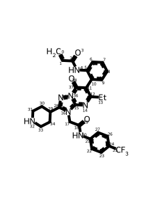 C=CC(=O)Nc1ccccc1-c1c(CC)nc2n(CC(=O)Nc3ccc(C(F)(F)F)cc3)c(C3CCNCC3)nn2c1=O